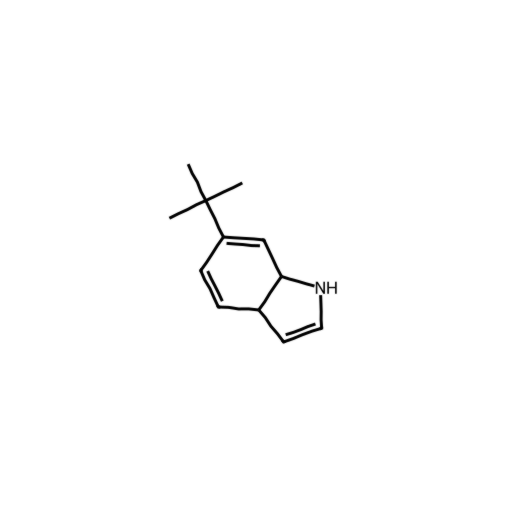 CC(C)(C)C1=CC2NC=CC2C=C1